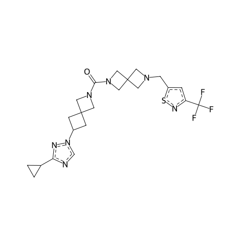 O=C(N1CC2(CC(n3cnc(C4CC4)n3)C2)C1)N1CC2(CN(Cc3cc(C(F)(F)F)ns3)C2)C1